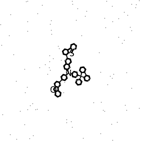 c1ccc(C2(c3ccc(N(c4ccc(-c5ccc6oc7ccccc7c6c5)cc4)c4ccc5cc(-c6cccc7c6sc6ccccc67)ccc5c4)cc3)c3ccccc3-c3ccccc32)cc1